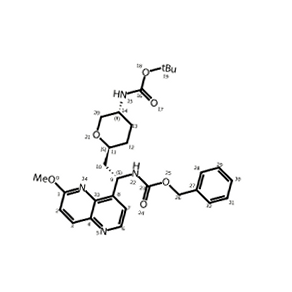 COc1ccc2nccc([C@H](C[C@@H]3CC[C@@H](NC(=O)OC(C)(C)C)CO3)NC(=O)OCc3ccccc3)c2n1